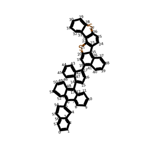 c1ccc2cc(-c3c4ccccc4c(-c4ccc(-c5cc6sc7c(ccc8sc9ccccc9c87)c6c6ccccc56)c5ccccc45)c4ccccc34)ccc2c1